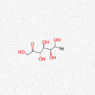 [2H]C(O)[C@@H](O)[C@H](O)[C@H](O)C(=O)CO